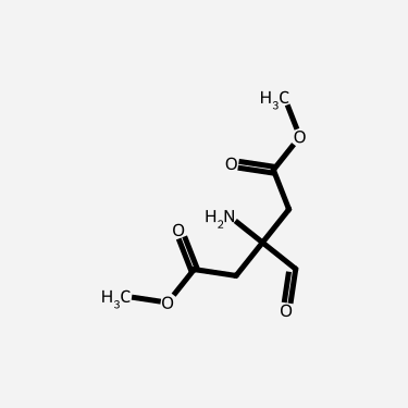 COC(=O)CC(N)(C=O)CC(=O)OC